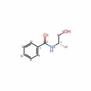 C[C@@H](CO)NC(=O)c1ccccc1